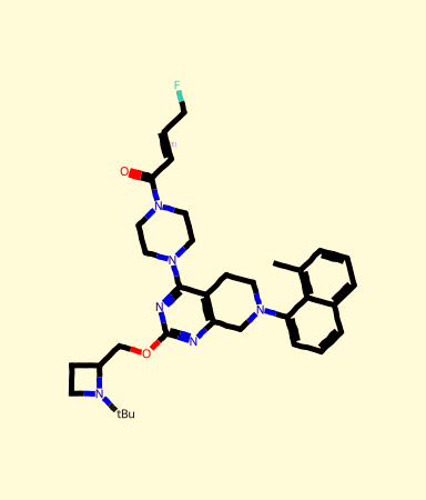 Cc1cccc2cccc(N3CCc4c(nc(OCC5CCN5C(C)(C)C)nc4N4CCN(C(=O)/C=C/CF)CC4)C3)c12